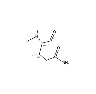 C[C@@H](CC(N)=O)[C@@H](C=O)N(C)C